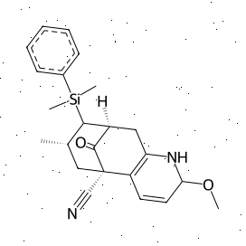 COC1C=CC2=C(C[C@H]3C(=O)[C@]2(C#N)C[C@H](C)C3[Si](C)(C)c2ccccc2)N1